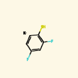 Fc1ccc(S)c(F)c1.[K]